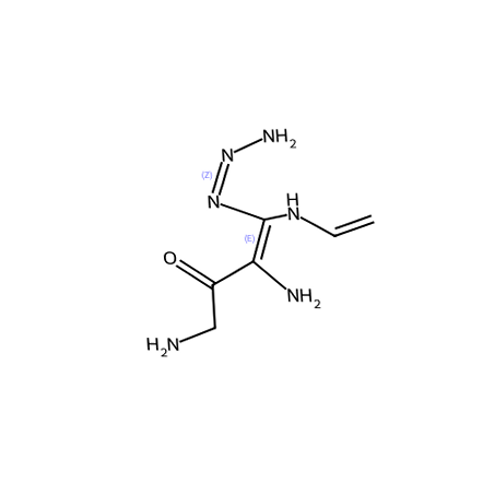 C=CNC(/N=N\N)=C(\N)C(=O)CN